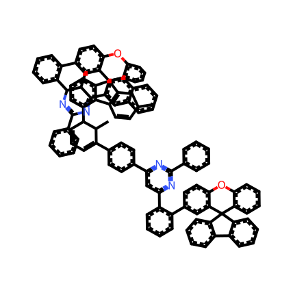 CC1C=CC2=C(C1)C1(c3ccccc3Oc3ccc(-c4ccccc4C4N=C(c5ccccc5)N=C(c5ccc6ccccc6c5)C4C)cc31)c1cccc(C3C=CC=C(c4ccc(-c5cc(-c6ccccc6-c6ccc7c(c6)C6(c8ccccc8O7)c7ccccc7-c7ccccc76)nc(-c6ccccc6)n5)cc4)C3C)c12